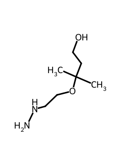 CC(C)(CCO)OCCNN